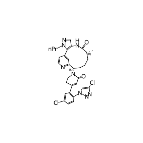 CCCn1ncc2c1-c1ccnc(c1)[C@@H](N1CCC(c3cc(Cl)ccc3-n3cc(Cl)nn3)=CC1=O)CCC[C@@H](C)C(=O)N2